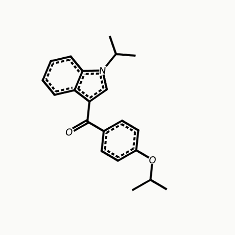 CC(C)Oc1ccc(C(=O)c2cn(C(C)C)c3ccccc23)cc1